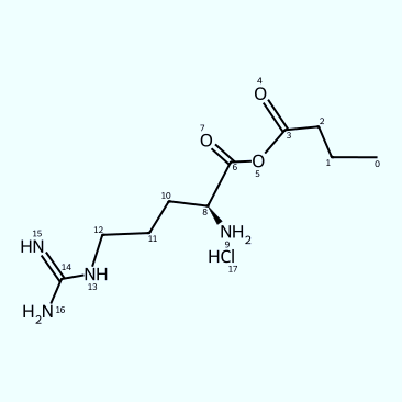 CCCC(=O)OC(=O)[C@@H](N)CCCNC(=N)N.Cl